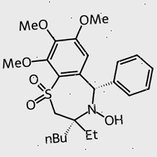 CCCC[C@]1(CC)CS(=O)(=O)c2c(cc(OC)c(OC)c2OC)[C@H](c2ccccc2)N1O